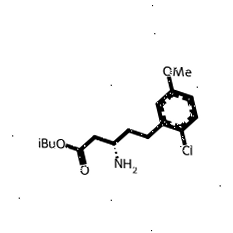 COc1ccc(Cl)c(CC[C@H](N)CC(=O)OCC(C)C)c1